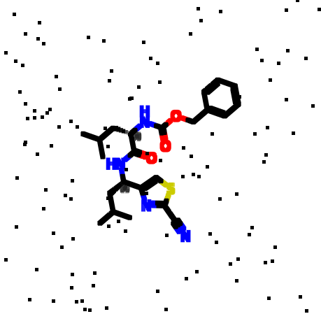 CC(C)C[C@H](NC(=O)OCc1ccccc1)C(=O)N[C@H](CC(C)C)c1csc(C#N)n1